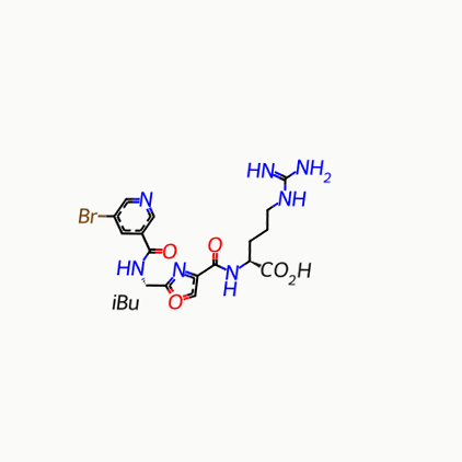 CC[C@H](C)[C@H](NC(=O)c1cncc(Br)c1)c1nc(C(=O)N[C@@H](CCCNC(=N)N)C(=O)O)co1